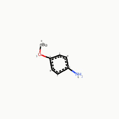 [CH2]CCCOc1ccc(N)cc1